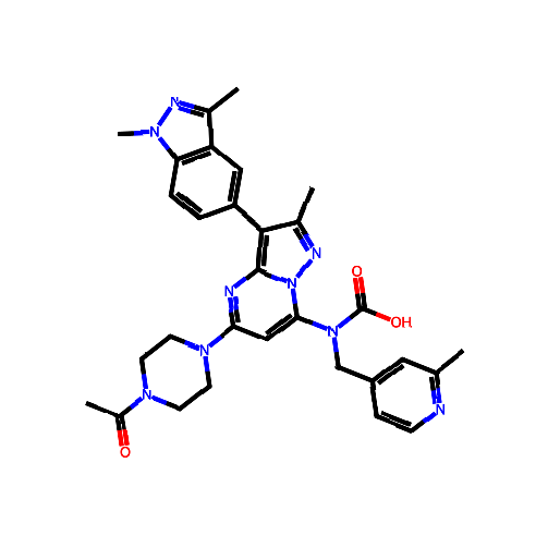 CC(=O)N1CCN(c2cc(N(Cc3ccnc(C)c3)C(=O)O)n3nc(C)c(-c4ccc5c(c4)c(C)nn5C)c3n2)CC1